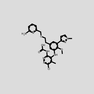 COc1c(Nc2c(NC(=O)O)nnc(Cl)c2C)cc(CCOCc2cccc(N)n2)cc1-c1ccn(C)n1